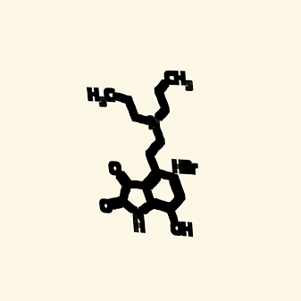 Br.CCCN(CCC)CCc1ccc(O)c2c1C(=O)C(=O)N2